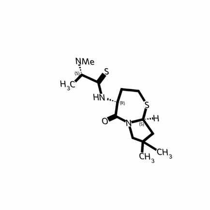 CN[C@@H](C)C(=S)N[C@@H]1CCS[C@H]2CC(C)(C)CN2C1=O